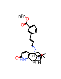 C/C=C1\[C@H]2C=C(C)C[C@]1(N=CC=Cc1cccc(C(=O)OCCC)c1)c1ccc(=O)[nH]c1C2